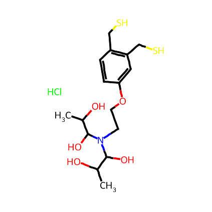 CC(O)C(O)N(CCOc1ccc(CS)c(CS)c1)C(O)C(C)O.Cl